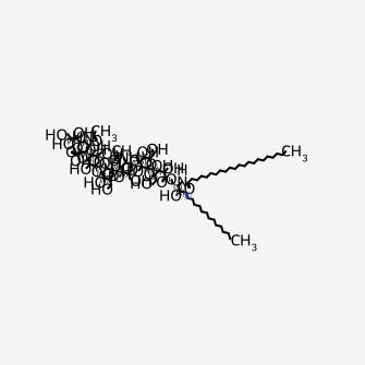 CCCCCCCCCCCCC/C=C/[C@@H](O)[C@H](CO[C@@H]1OC(CO)[C@@H](O[C@@H]2OC(CO)[C@H](O)[C@H](O[C@@H]3OC(CO)[C@@H](O)[C@H](O[C@@H]4OC(CO)[C@H](O)[C@H](O[C@@H]5OC(CO)[C@H](O)[C@H](O[C@]6(C(=O)O)CC(O)[C@@H](NC(C)=O)C([C@H](O)[C@H](O)CO)O6)C5O)C4O)C3NC(C)=O)C2O)[C@H](O)C1O)NC(=O)CCCCCCCCCCCCCCCCCCCCC